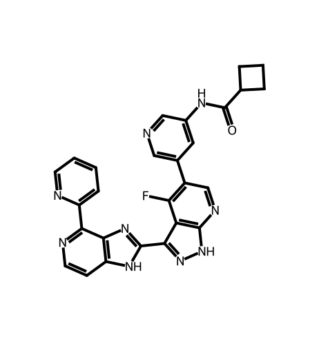 O=C(Nc1cncc(-c2cnc3[nH]nc(-c4nc5c(-c6ccccn6)nccc5[nH]4)c3c2F)c1)C1CCC1